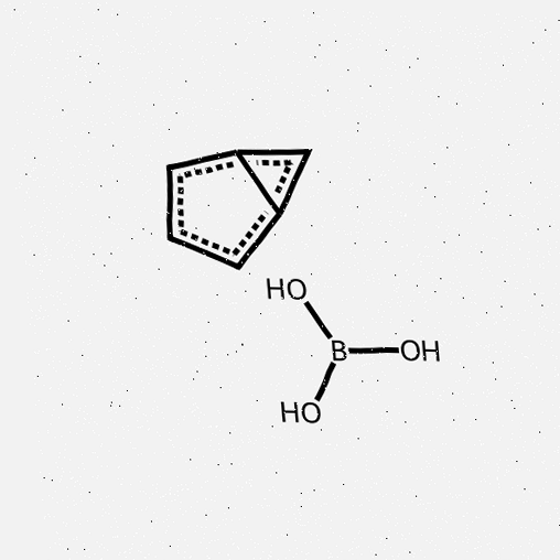 OB(O)O.c1cc2cc-2c1